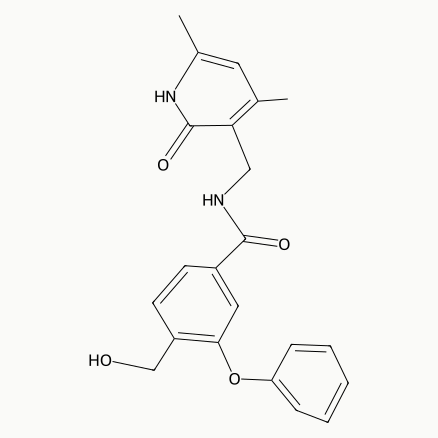 Cc1cc(C)c(CNC(=O)c2ccc(CO)c(Oc3ccccc3)c2)c(=O)[nH]1